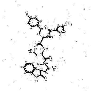 Cc1cc(C(=O)N[C@@H](CCc2ccc(F)cc2)C(=O)N[C@@H](CC(C)(C)C)C(=O)N2C[C@]3(C[C@H]2C#N)C(=O)Nc2ccccc23)no1